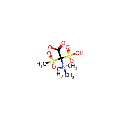 C[N+](C)(C)C(C(=O)[O-])(S(C)(=O)=O)S(=O)(=O)O